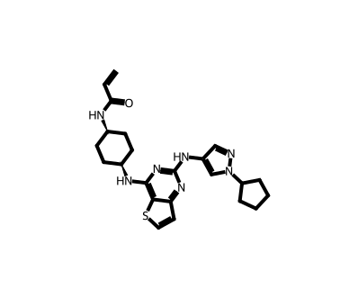 C=CC(=O)N[C@H]1CC[C@@H](Nc2nc(Nc3cnn(C4CCCC4)c3)nc3ccsc23)CC1